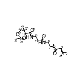 CC(C)=CC(=O)SCCNC(=O)CCNC(=O)[C@H]1OC(C)(C)OCC1(C)C